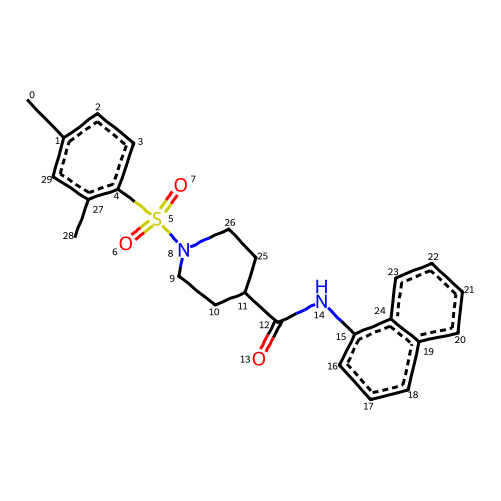 Cc1ccc(S(=O)(=O)N2CCC(C(=O)Nc3cccc4ccccc34)CC2)c(C)c1